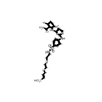 NC(=O)c1c(F)cccc1Nc1nc(Nc2ccc(S(=O)(=O)NCCOCCOC/C=C/C(=O)O)cc2)ncc1Br